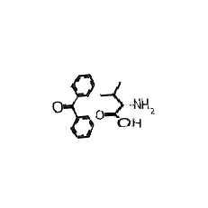 CC(C)[C@H](N)C(=O)O.O=C(c1ccccc1)c1ccccc1